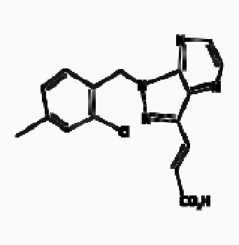 Cc1ccc(Cn2nc(/C=C/C(=O)O)c3nccnc32)c(Cl)c1